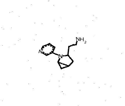 NCCC1CC2CC2N1c1cccnc1